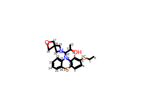 CCSc1ccc2c(c1)N(C(C(C)O)N1CC3(COC3)C1)c1ccccc1S2